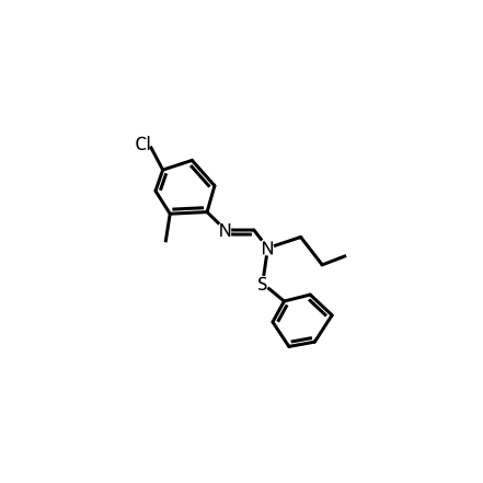 CCCN(C=Nc1ccc(Cl)cc1C)Sc1ccccc1